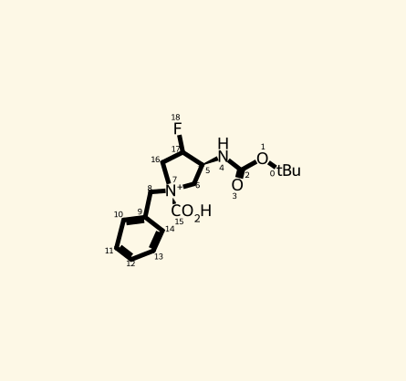 CC(C)(C)OC(=O)N[C@H]1C[N@+](Cc2ccccc2)(C(=O)O)CC1F